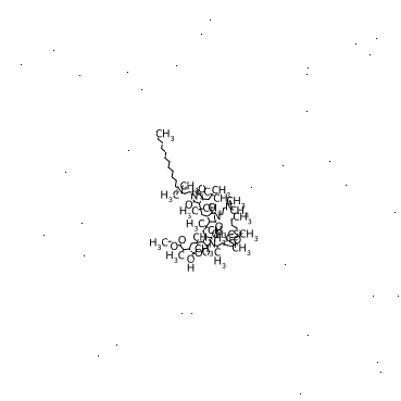 CCCCCCCCCCCC[N+](C)(C)CCN1C(=O)C(CC(C)(C)C)C(C(C)(C)CC2C(=O)N(CCN(C)C)C(=O)C2C(C)(C)CC2C(=O)N(C(C)CC[Si](C)(C)O[Si](C)(C)CCCC)C(=O)C2C(C)(C)CC(C(=O)O)C(C)C(=O)OCC)C1=O